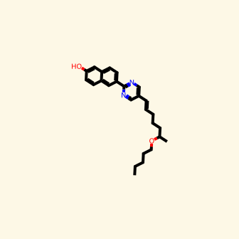 CCCCCOC(C)CCCC=Cc1cnc(-c2ccc3cc(O)ccc3c2)nc1